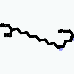 CCCCC/C=C\C/C=C\CCCCCCCCCC(O)CCCCCCCCC